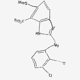 CCOC(=O)c1c(SC)ccc2nc(Nc3cccc(Cl)c3Cl)[nH]c12